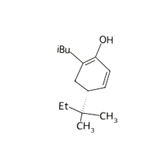 CCC(C)C1=C(O)C=C[C@H](C(C)(C)CC)C1